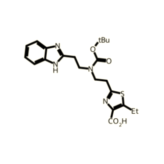 CCc1sc(CCN(CCc2nc3ccccc3[nH]2)C(=O)OC(C)(C)C)nc1C(=O)O